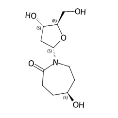 O=C1CC[C@H](O)CCN1[C@@H]1C[C@H](O)[C@@H](CO)O1